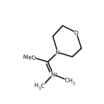 COC(N1CCOCC1)=[N+](C)C